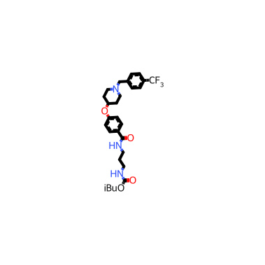 CC(C)COC(=O)NCCCNC(=O)c1ccc(OC2CCN(Cc3ccc(C(F)(F)F)cc3)CC2)cc1